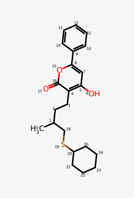 CC(CCc1c(O)cc(-c2ccccc2)oc1=O)CSC1CCCCC1